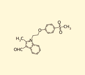 Cc1c(C=O)c2ccccc2n1CCOc1ccc(S(C)(=O)=O)cc1